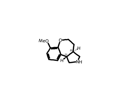 COc1cccc2c1OCC[C@H]1CNC[C@H]21